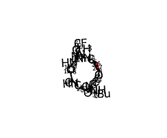 CC1(C)CNC(=O)c2ccc(cc2)Nc2nc(nc(OCC(F)(F)F)n2)NCc2ccc(cc2)OCCCN(C(=O)NC(C)(C)C)C1